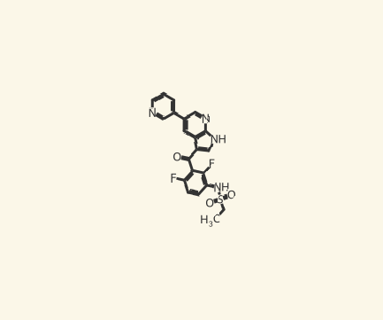 CCS(=O)(=O)Nc1ccc(F)c(C(=O)c2c[nH]c3ncc(-c4cccnc4)cc23)c1F